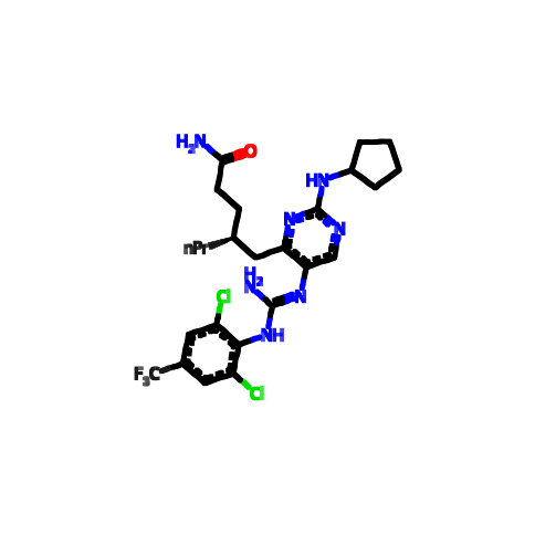 CCC[C@@H](CCC(N)=O)Cc1nc(NC2CCCC2)ncc1/N=C(\N)Nc1c(Cl)cc(C(F)(F)F)cc1Cl